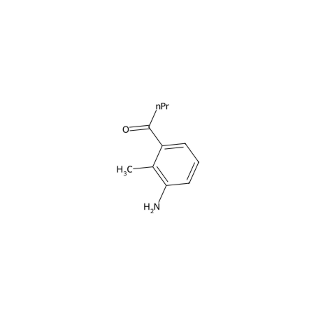 CCCC(=O)c1cccc(N)c1C